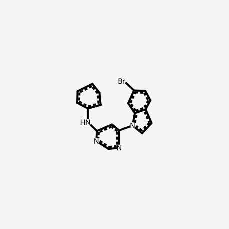 Brc1ccc2ccn(-c3cc(Nc4ccccc4)ncn3)c2c1